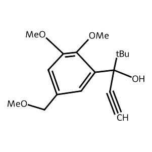 C#CC(O)(c1cc(COC)cc(OC)c1OC)C(C)(C)C